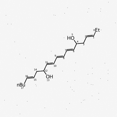 CCC=CCC(O)C=CC=CC=CC(O)CC=CCCCC